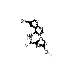 Cc1noc(C(C)Nc2ncnc3ncc(Br)cc23)n1